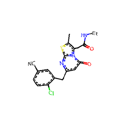 CCNC(=O)c1c(C)sc2nc(Cc3cc(C#N)ccc3Cl)cc(=O)n12